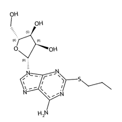 CCCSc1nc(N)c2ncn([C@@H]3O[C@H](CO)[C@@H](O)[C@H]3O)c2n1